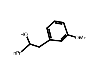 CCCC(O)Cc1cccc(OC)c1